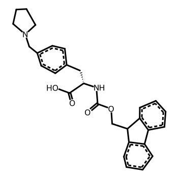 O=C(N[C@@H](Cc1ccc(CN2CCCC2)cc1)C(=O)O)OCC1c2ccccc2-c2ccccc21